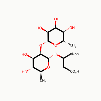 CCCCCCCCCC(CC(=O)O)O[C@@H]1O[C@@H](C)[C@H](O)[C@@H](O)[C@H]1O[C@H]1O[C@@H](C)[C@@H](O)[C@H](O)[C@@H]1O